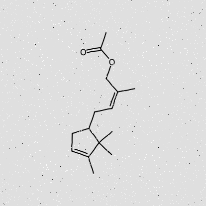 CC(=O)OCC(C)=CCC1CC=C(C)C1(C)C